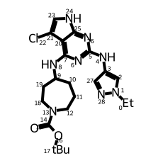 CCn1cc(Nc2nc(NC3CCCN(C(=O)OC(C)(C)C)CC3)c3c(Cl)c[nH]c3n2)cn1